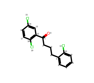 O=C(CCCc1ccccc1Cl)c1cc(Cl)ccc1Cl